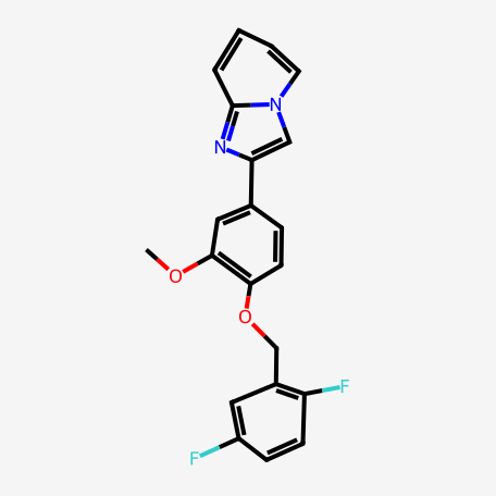 COc1cc(-c2cn3ccccc3n2)ccc1OCc1cc(F)ccc1F